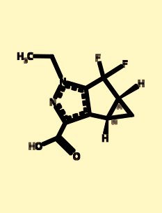 CCn1nc(C(=O)O)c2c1C(F)(F)[C@@H]1C[C@H]21